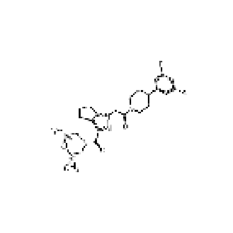 C[C@@H]1CN(C(=O)c2nn(CC(=O)N3CCC(c4cc(F)cc(F)c4)CC3)c3c2CCC3)C[C@H](C)O1